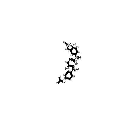 CC(C)Oc1ccc(Nc2nc(Nc3ccc4c(c3)CN(C)N4)ncc2F)cc1